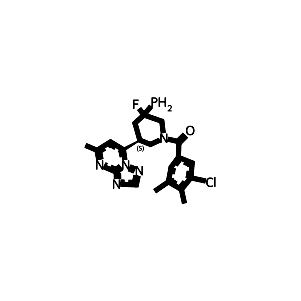 Cc1cc([C@@H]2CN(C(=O)c3cc(C)c(C)c(Cl)c3)CC(F)(P)C2)n2ncnc2n1